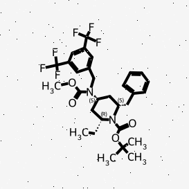 CC[C@@H]1C[C@H](N(Cc2cc(C(F)(F)F)cc(C(F)(F)F)c2)C(=O)OC)C[C@H](Cc2ccccc2)N1C(=O)OC(C)(C)C